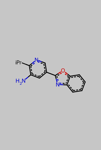 CC(C)c1ncc(-c2nc3ccccc3o2)cc1N